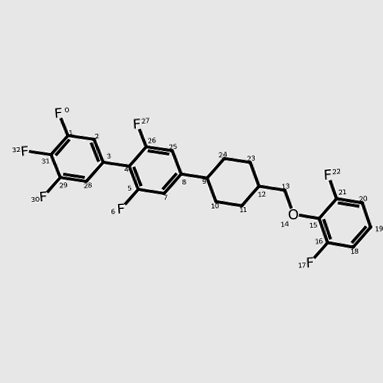 Fc1cc(-c2c(F)cc(C3CCC(COc4c(F)cccc4F)CC3)cc2F)cc(F)c1F